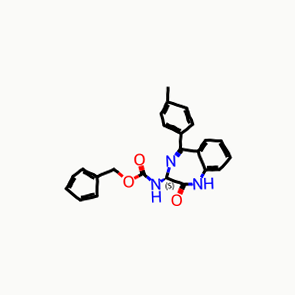 Cc1ccc(C2=N[C@H](NC(=O)OCc3ccccc3)C(=O)Nc3ccccc32)cc1